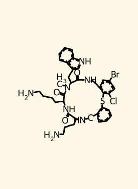 CN1C(=O)C(CCCCN)NC(=O)C(CCCN)NCc2ccccc2Sc2c(Cl)cc(Br)cc2CNC(=O)C1Cc1c[nH]c2ccccc12